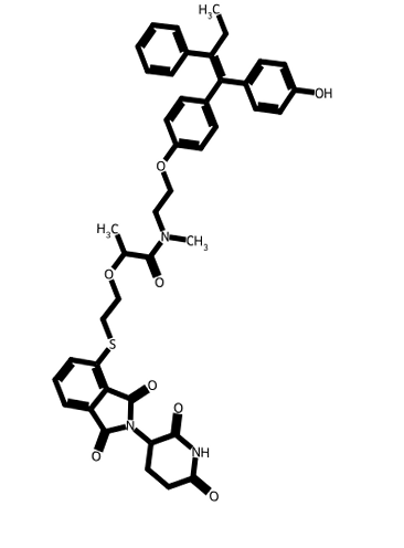 CC/C(=C(\c1ccc(O)cc1)c1ccc(OCCN(C)C(=O)C(C)OCCSc2cccc3c2C(=O)N(C2CCC(=O)NC2=O)C3=O)cc1)c1ccccc1